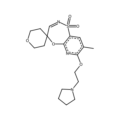 Cc1cc2c(nc1OCCN1CCCC1)OC1(C=NS2(=O)=O)CCOCC1